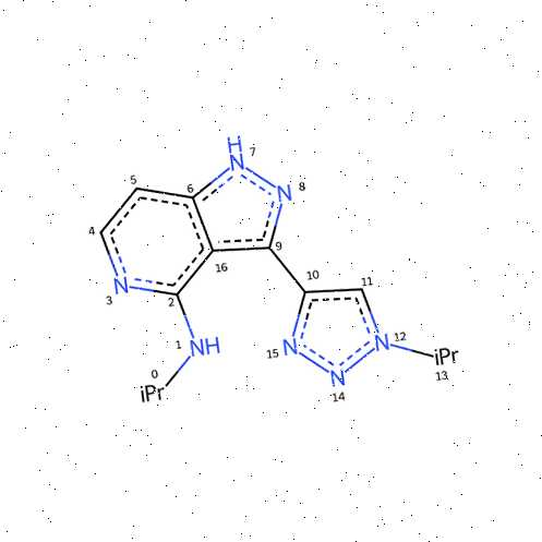 CC(C)Nc1nccc2[nH]nc(-c3cn(C(C)C)nn3)c12